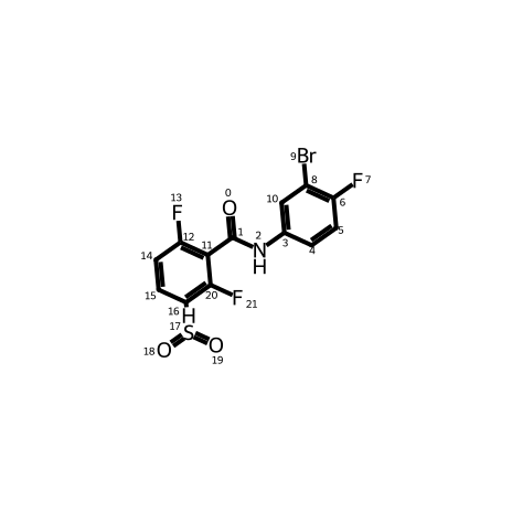 O=C(Nc1ccc(F)c(Br)c1)c1c(F)ccc([SH](=O)=O)c1F